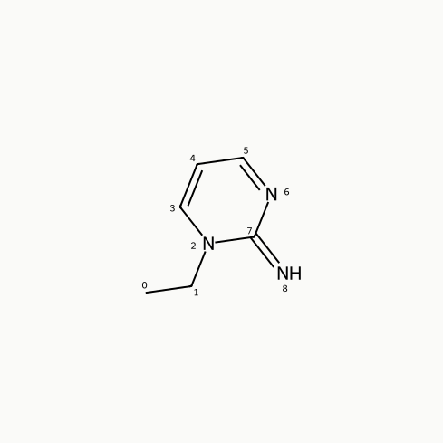 CCn1cccnc1=N